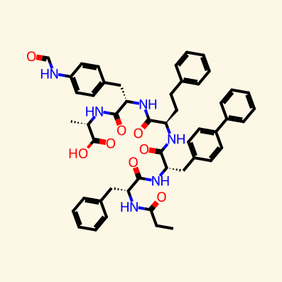 CCC(=O)N[C@H](Cc1ccccc1)C(=O)N[C@@H](Cc1ccc(-c2ccccc2)cc1)C(=O)N[C@H](CCc1ccccc1)C(=O)N[C@@H](Cc1ccc(NC=O)cc1)C(=O)N[C@@H](C)C(=O)O